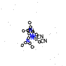 N#Cc1ccc(-c2ccc(-n3c4ccc(-c5ccccc5)cc4c4cc(-c5ccccc5)ccc43)cc2-c2nc(-c3ccc(-c4cccc(C#N)c4)cc3)nc(-c3cc(-n4c5ccc(-c6ccccc6)cc5c5cc(-c6ccccc6)ccc54)ccc3-c3ccc(C#N)cc3)n2)cc1